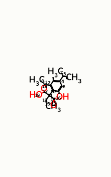 CCc1cc(C(C)C)ccc1C(CC)(C(=O)O)C(=O)O